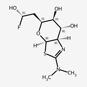 CN(C)C1=N[C@@H]2[C@@H](O)[C@H](O)[C@H](C[C@@H](O)F)O[C@@H]2S1